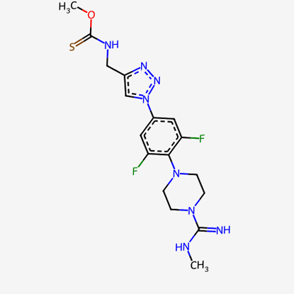 CNC(=N)N1CCN(c2c(F)cc(-n3cc(CNC(=S)OC)nn3)cc2F)CC1